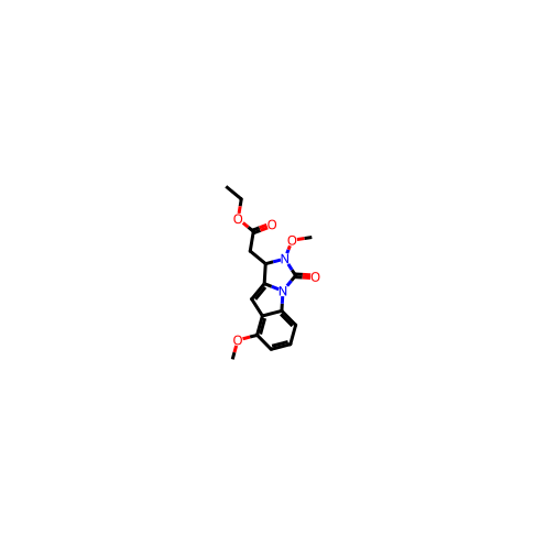 CCOC(=O)CC1c2cc3c(OC)cccc3n2C(=O)N1OC